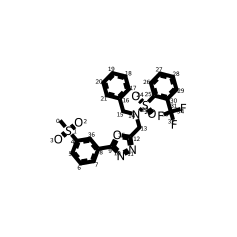 CS(=O)(=O)c1cccc(-c2nnc(CN(Cc3ccccc3)S(=O)(=O)c3ccccc3C(F)(F)F)o2)c1